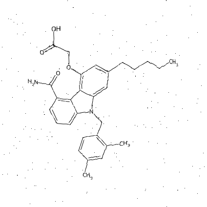 CCCCCc1cc(OCC(=O)O)c2c3c(C(N)=O)cccc3n(Cc3ccc(C)cc3C)c2c1